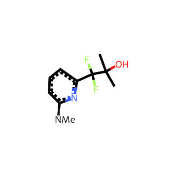 CNc1cccc(C(F)(F)C(C)(C)O)n1